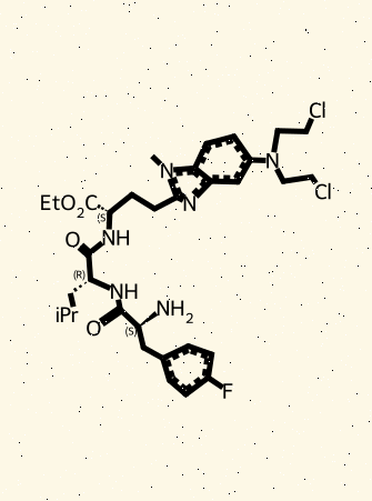 CCOC(=O)[C@H](CCc1nc2cc(N(CCCl)CCCl)ccc2n1C)NC(=O)[C@@H](CC(C)C)NC(=O)[C@@H](N)Cc1ccc(F)cc1